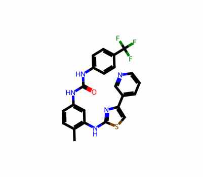 Cc1ccc(NC(=O)Nc2ccc(C(F)(F)F)cc2)cc1Nc1nc(-c2cccnc2)cs1